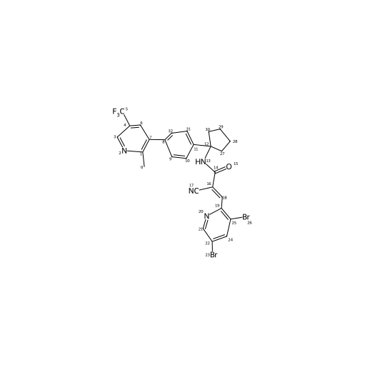 Cc1ncc(C(F)(F)F)cc1-c1ccc(C2(NC(=O)/C(C#N)=C/c3ncc(Br)cc3Br)CCCC2)cc1